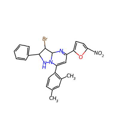 Cc1ccc(C2=CC(c3ccc([N+](=O)[O-])o3)=NC3C(Br)C(c4ccccc4)NN23)c(C)c1